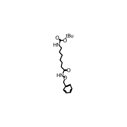 CC(C)(C)OC(=O)NCCCCCCC(=O)NOCc1ccccc1